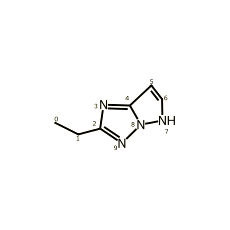 CCc1nc2cc[nH]n2n1